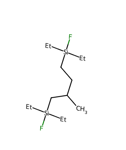 CC[Si](F)(CC)CCC(C)C[Si](F)(CC)CC